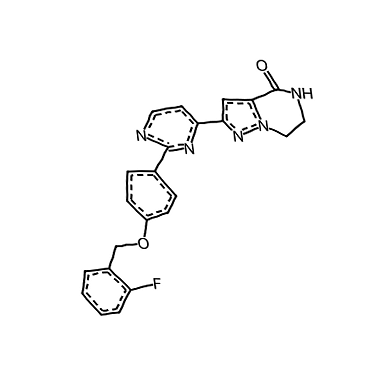 O=C1NCCn2nc(-c3ccnc(-c4ccc(OCc5ccccc5F)cc4)n3)cc21